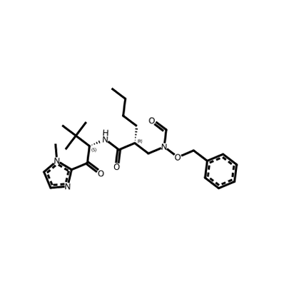 CCCC[C@H](CN(C=O)OCc1ccccc1)C(=O)N[C@H](C(=O)c1nccn1C)C(C)(C)C